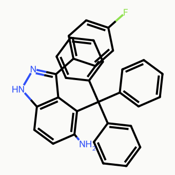 Nc1ccc2[nH]nc(-c3ccc(F)cc3)c2c1C(c1ccccc1)(c1ccccc1)c1ccccc1